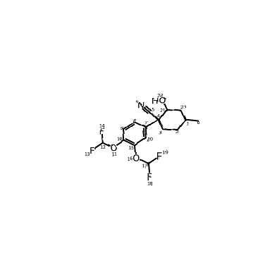 CC1CCC(C#N)(c2ccc(OC(F)F)c(OC(F)F)c2)C(O)C1